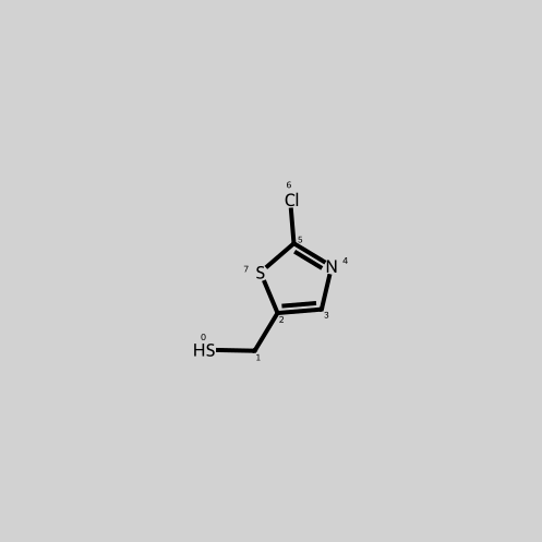 SCc1cnc(Cl)s1